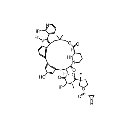 CCn1c(-c2cccnc2C(C)C)c2c3cc(ccc31)-c1cc(O)cc(c1)C[C@H](NC(=O)[C@H](C(C)C)N(C)C(=O)[C@]1(F)CCN(C(=O)[C@@H]3CN3)C1)C(=O)N1CCC[C@H](N1)C(=O)OCC(C)(C)C2